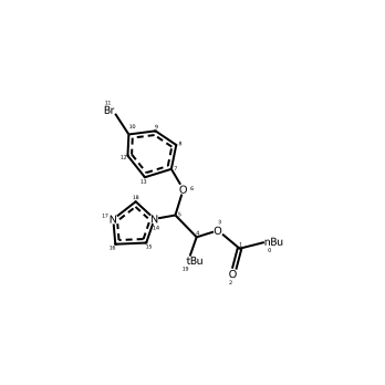 CCCCC(=O)OC(C(Oc1ccc(Br)cc1)n1ccnc1)C(C)(C)C